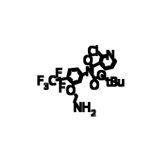 CC(C)(C)OC(=O)N(C(=O)c1cccnc1Cl)c1ccc(C(F)(F)C(F)(F)F)c(OCCN)c1